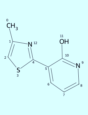 Cc1csc(-c2cccnc2O)n1